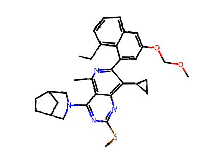 CCc1cccc2cc(OCOC)cc(-c3nc(C)c4c(N5CC6CCC(C6)C5)nc(SC)nc4c3C3CC3)c12